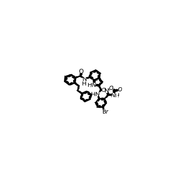 O=C(Nc1ccc(Br)cc1-c1noc(=O)[nH]1)c1cc2cccc(NC(=O)c3ccccc3CCc3ccccc3)c2[nH]1